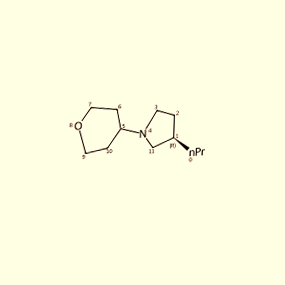 CCC[C@@H]1CCN(C2CCOCC2)C1